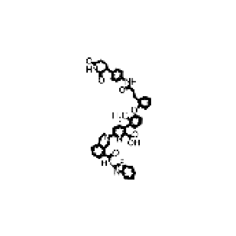 Cc1c(Oc2ccccc2CCC(=O)Nc2ccc(C3CCC(=O)NC3=O)cc2)cccc1-c1ccc(N2CCc3cccc(C(=O)Nc4nc5ccccc5s4)c3C2)nc1C(=O)O